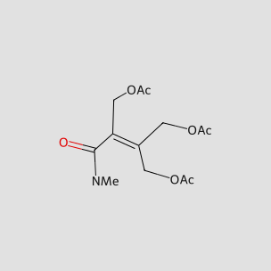 CNC(=O)C(COC(C)=O)=C(COC(C)=O)COC(C)=O